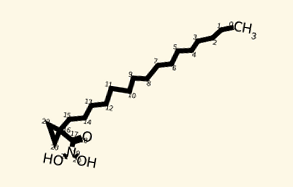 CCCCCCCCCCCCCCCCC1(C(=O)N(O)O)CC1